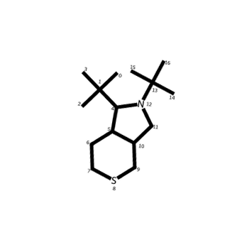 CC(C)(C)C1C2CCSCC2CN1C(C)(C)C